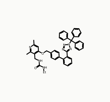 CCNC(=O)NCc1c(OCc2ccc(-c3ccccc3-c3nnn(C(c4ccccc4)(c4ccccc4)c4ccccc4)n3)cc2)cc(C)nc1C